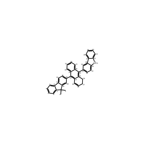 CC1(C)c2ccccc2-c2ccc(-c3c4c(c(-c5ccc6oc7ccccc7c6c5)c5ccccc35)CCC=C4)cc21